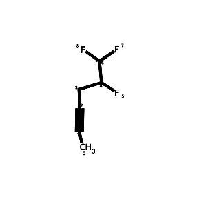 CC#CCC(F)[C](F)F